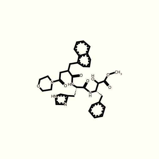 COC(=O)C(O)[C@H](Cc1ccccc1)NC(=O)[C@H](Cc1c[nH]cn1)NC(=O)C(CC(=O)N1CCOCC1)Cc1cccc2ccccc12